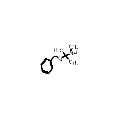 CNC(C)(C)OCc1ccccc1